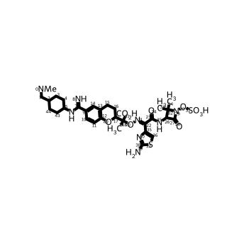 CNCC1CCC(NC(=N)c2ccc3c(c2)CCC(C(C)(ON=C(C(=O)NC2C(=O)N(OS(=O)(=O)O)C2(C)C)c2csc(N)n2)C(=O)O)O3)CC1